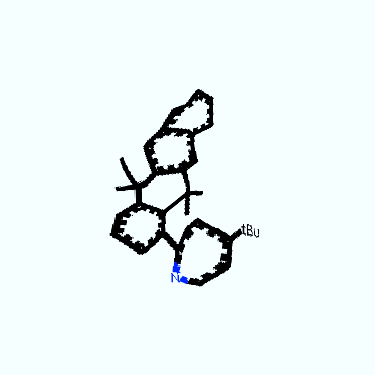 CC(C)(C)c1ccnc(-c2cccc3c2C(C)(C)c2cc4ccccc4cc2C3(C)C)c1